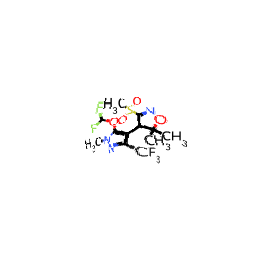 Cn1nc(C(F)(F)F)c(C2C(S(C)(=O)=O)=NOC2(C)C)c1OC(F)F